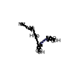 CN1/C(=C/C=C/C=C/C2=[N+](CCCCCC(=O)NCCCn3cc(CNCCCN=[N+]=[N-])nn3)c3ccc(S(=O)(=O)O)cc3C2(C)C)C(C)(C)c2cc(S(=O)(=O)O)ccc21